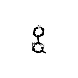 Cc1ccnc(-c2ccncc2)n1